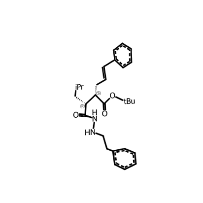 CC(C)C[C@@H](C(=O)NNCCc1ccccc1)[C@H](CC=Cc1ccccc1)C(=O)OC(C)(C)C